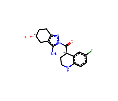 Nc1c2c(nn1C(=O)[C@@H]1CCNc3ccc(F)cc31)CC[C@@H](O)C2